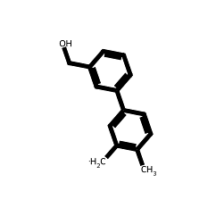 [CH2]c1cc(-c2cccc(CO)c2)ccc1C